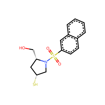 O=S(=O)(c1ccc2ccccc2c1)N1C[C@H](S)C[C@@H]1CO